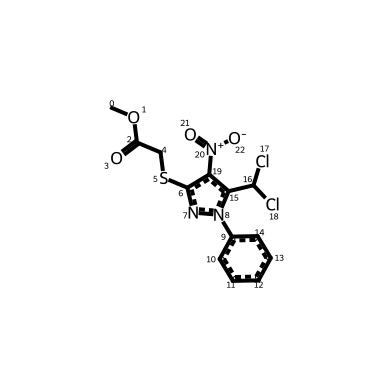 COC(=O)CSc1nn(-c2ccccc2)c(C(Cl)Cl)c1[N+](=O)[O-]